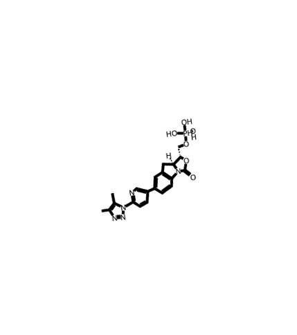 Cc1nnn(-c2ccc(-c3ccc4c(c3)C[C@H]3[C@H](CO[PH](O)(O)O)OC(=O)N43)cn2)c1C